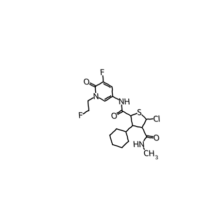 CNC(=O)C1C(Cl)SC(C(=O)Nc2cc(F)c(=O)n(CCF)c2)C1C1CCCCC1